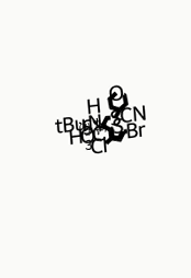 CC(C)(C)[S@@+]([O-])N[C@@](C)(CSC1(C#N)CCOCC1)c1sc(Br)cc1Cl